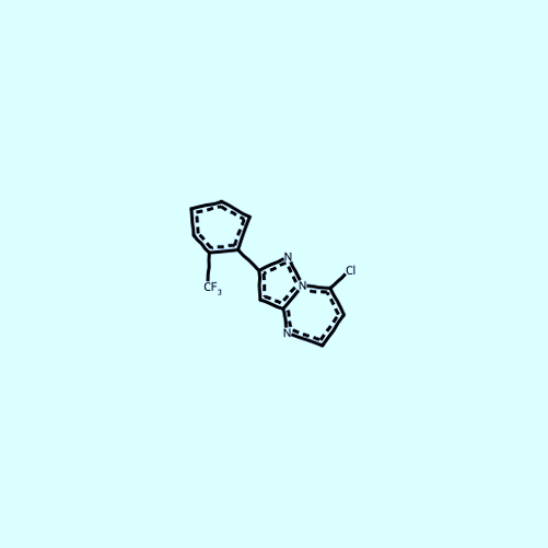 FC(F)(F)c1ccccc1-c1cc2nccc(Cl)n2n1